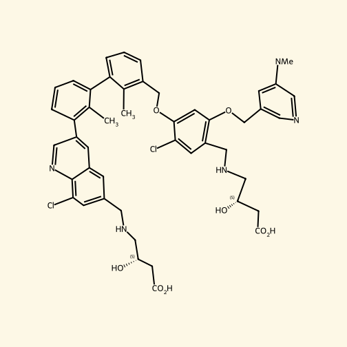 CNc1cncc(COc2cc(OCc3cccc(-c4cccc(-c5cnc6c(Cl)cc(CNC[C@@H](O)CC(=O)O)cc6c5)c4C)c3C)c(Cl)cc2CNC[C@@H](O)CC(=O)O)c1